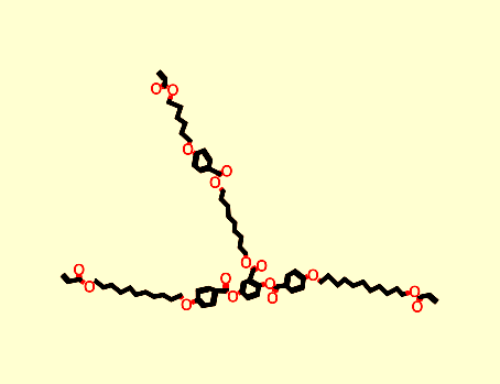 C=CC(=O)OCCCCCCCCCCCOc1ccc(C(=O)Oc2ccc(OC(=O)c3ccc(OCCCCCCCCCCCOC(=O)C=C)cc3)c(C(=O)OCCCCCCCCCOC(=O)c3ccc(OCCCCCCOC(=O)C=C)cc3)c2)cc1